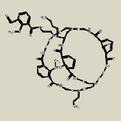 COc1c(C=O)cccc1C(=O)NCCN1CCNC(=O)c2cccc(c2OC)C(=O)NCCN(CCN)CCN2CCNC(=O)c3cccc(c3O)C(=O)NCCN(CC1)CC(CCCCN)NC(=O)c1cccc(c1O)C(=O)NCC2